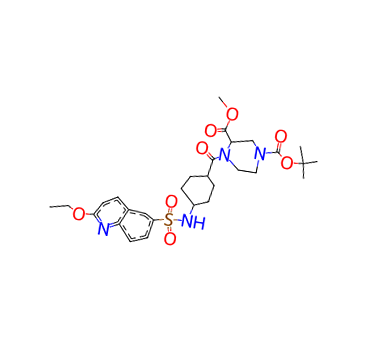 CCOc1ccc2cc(S(=O)(=O)NC3CCC(C(=O)N4CCN(C(=O)OC(C)(C)C)CC4C(=O)OC)CC3)ccc2n1